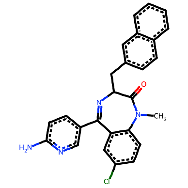 CN1C(=O)C(Cc2ccc3ccccc3c2)N=C(c2ccc(N)nc2)c2cc(Cl)ccc21